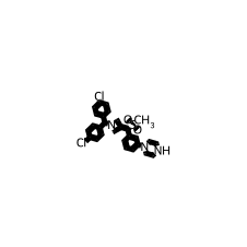 CS(=O)(=O)C(=C1CN(C(c2ccc(Cl)cc2)c2ccc(Cl)cc2)C1)c1cccc(N2CCNCC2)c1